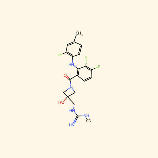 Cc1ccc(Nc2c(C(=O)N3CC(O)(CNC(=N)NC#N)C3)ccc(F)c2F)c(F)c1